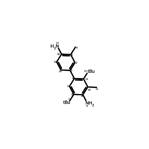 Cc1cc(-c2cc(C(C)(C)C)c(N)c(C)c2C(C)(C)C)ccc1N